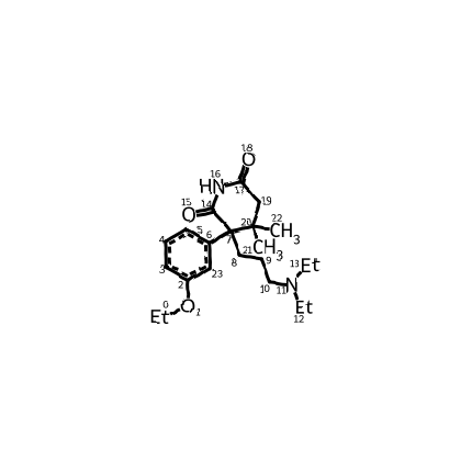 CCOc1cccc(C2(CCCN(CC)CC)C(=O)NC(=O)CC2(C)C)c1